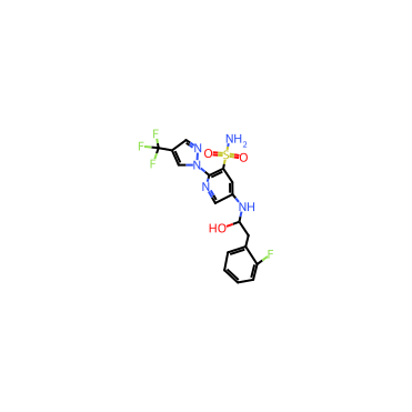 NS(=O)(=O)c1cc(NC(O)Cc2ccccc2F)cnc1-n1cc(C(F)(F)F)cn1